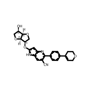 N#Cc1cc2[nH]c(O[C@@H]3CO[C@H]4[C@@H]3OC[C@H]4O)cc2nc1-c1ccc(C2=CCOCC2)cc1